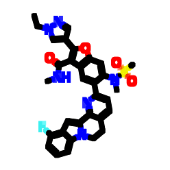 CCn1cc(-c2oc3cc(N(C)S(C)(=O)=O)c(-c4ccc5c(n4)-c4cc6c(F)cccc6n4CC5)cc3c2C(=O)NC)cn1